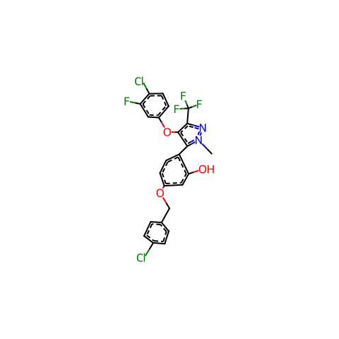 Cn1nc(C(F)(F)F)c(Oc2ccc(Cl)c(F)c2)c1-c1ccc(OCc2ccc(Cl)cc2)cc1O